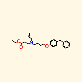 C=CCN(CCCCOc1ccc(Cc2ccccc2)cc1)CCC(=O)OCC